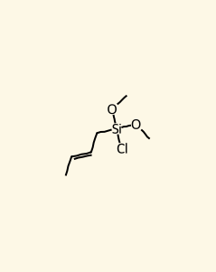 CC=CC[Si](Cl)(OC)OC